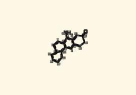 Nc1c2c(cc3c1ccc1ccccc13)=CCC(=O)C=2